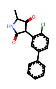 CC1NC(=O)C(c2cc(-c3ccccc3)ccc2Cl)C1=O